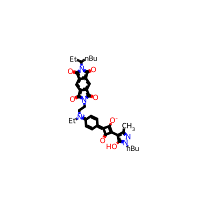 CCCCC(CC)n1c(=O)c2cc3c(=O)n(CC[N+](CC)=C4C=CC(=C5C(=O)C(c6c(C)nn(CCCC)c6O)=C5[O-])C=C4)c(=O)c3cc2c1=O